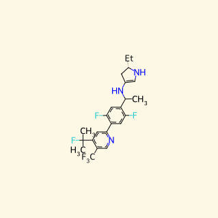 CC[C@H]1CC(NC(C)c2cc(F)c(-c3cc(C(C)(C)F)c(C(F)(F)F)cn3)cc2F)=CN1